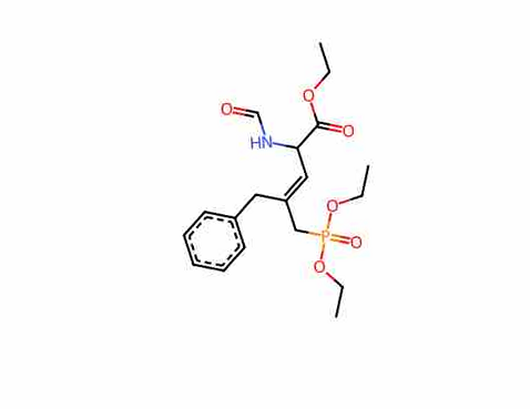 CCOC(=O)C(/C=C(\Cc1ccccc1)CP(=O)(OCC)OCC)NC=O